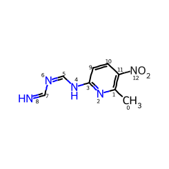 Cc1nc(N/C=N\C=N)ccc1[N+](=O)[O-]